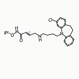 CC(C)ONC(=O)/C=C/CNCCCCN1c2ccccc2CCc2ccc(Cl)cc21